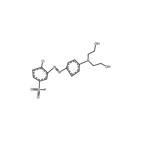 O=S(=O)(F)c1ccc(Cl)c(/N=N/c2ccc(N(CCO)CCO)cc2)c1